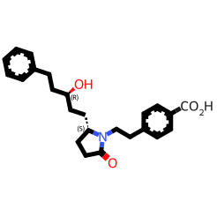 O=C(O)c1ccc(CCN2C(=O)CC[C@@H]2CC[C@H](O)CCc2ccccc2)cc1